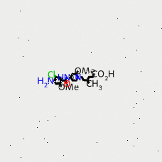 COc1cc(N)c(Cl)cc1C(=O)N[C@@H]1CCN(CCC(C)CCC(=O)O)C(OC)C1